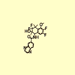 COc1c(F)c(F)cc2c1C(C)(C)C(F)(F)C(C)(O)C2NC(=O)c1ccc2nccnc2c1